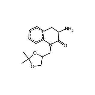 CC1(C)OCC(CN2C(=O)C(N)Cc3ccccc32)O1